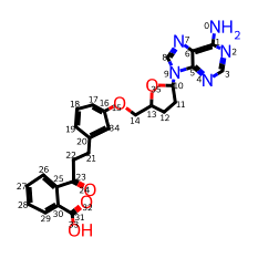 Nc1ncnc2c1ncn2C1CCC(COc2cccc(CCC(=O)c3ccccc3C(=O)O)c2)O1